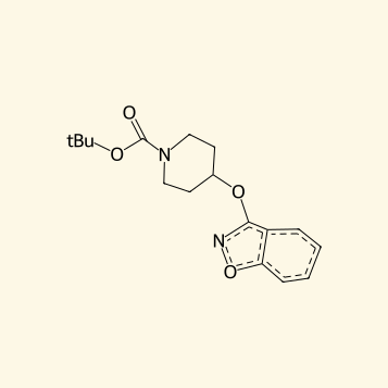 CC(C)(C)OC(=O)N1CCC(Oc2noc3ccccc23)CC1